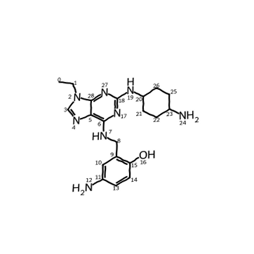 CCn1cnc2c(NCc3cc(N)ccc3O)nc(NC3CCC(N)CC3)nc21